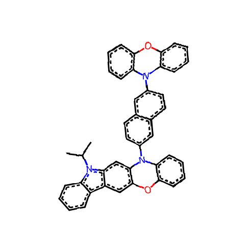 CC(C)n1c2ccccc2c2cc3c(cc21)N(c1ccc2cc(N4c5ccccc5Oc5ccccc54)ccc2c1)c1ccccc1O3